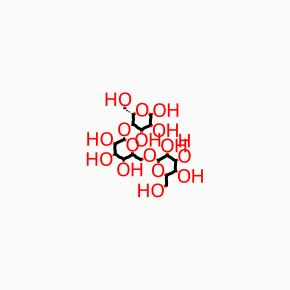 OCC1O[C@H](OCC2O[C@@H](O[C@H]3C(O)C(O)[C@H](O)O[C@H]3CO)C(O)[C@@H](O)[C@@H]2O)C(O)[C@@H](O)[C@H]1O